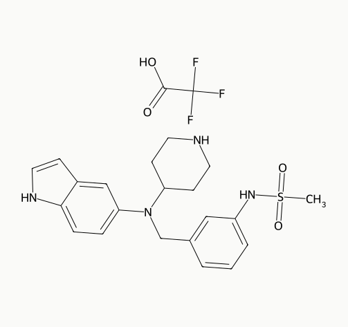 CS(=O)(=O)Nc1cccc(CN(c2ccc3[nH]ccc3c2)C2CCNCC2)c1.O=C(O)C(F)(F)F